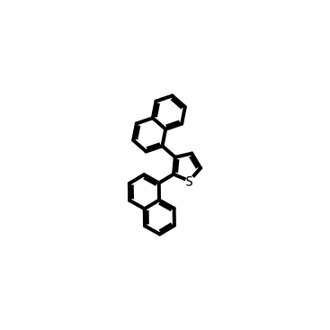 c1ccc2c(-c3ccsc3-c3cccc4ccccc34)cccc2c1